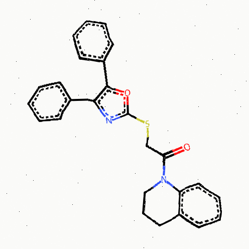 O=C(CSc1nc(-c2ccccc2)c(-c2ccccc2)o1)N1CCCc2ccccc21